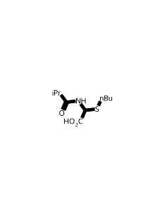 CCCCSC(NC(=O)C(C)C)C(=O)O